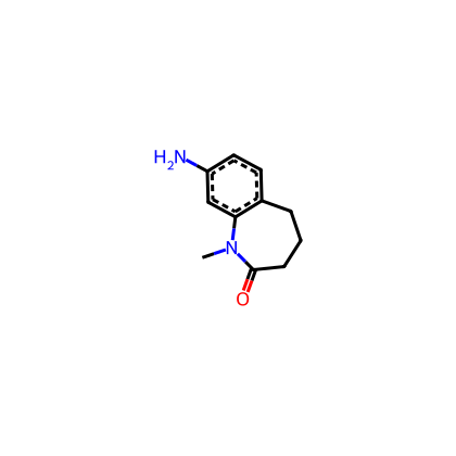 CN1C(=O)CCCc2ccc(N)cc21